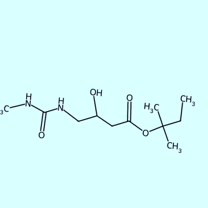 CCC(C)(C)OC(=O)CC(O)CNC(=O)NC